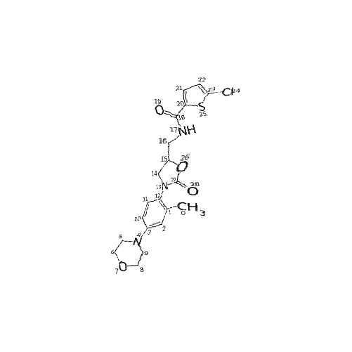 Cc1cc(N2CCOCC2)ccc1N1CC(CNC(=O)c2ccc(Cl)s2)OC1=O